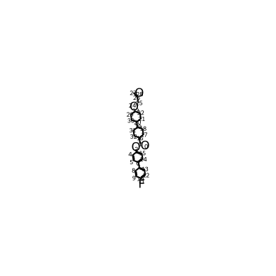 O=C(Oc1ccc(-c2ccc(F)cc2)cc1)C1CCC(C2CCC(OCC3CO3)CC2)CC1